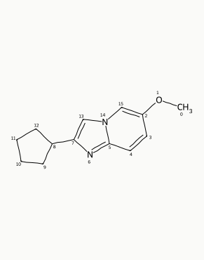 COc1ccc2nc(C3CCCC3)cn2c1